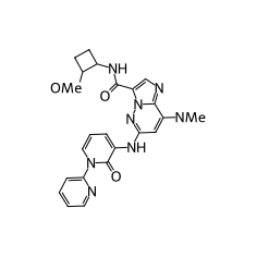 CNc1cc(Nc2cccn(-c3ccccn3)c2=O)nn2c(C(=O)NC3CCC3OC)cnc12